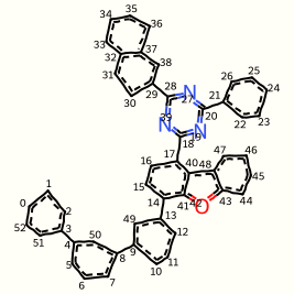 c1ccc(-c2cccc(-c3cccc(-c4ccc(-c5nc(-c6ccccc6)nc(-c6ccc7ccccc7c6)n5)c5c4oc4ccccc45)c3)c2)cc1